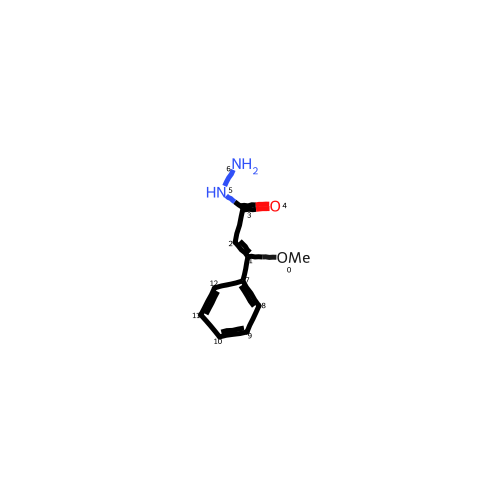 COC(=CC(=O)NN)c1ccccc1